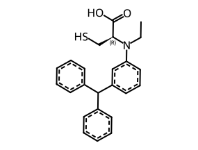 CCN(c1cccc(C(c2ccccc2)c2ccccc2)c1)[C@@H](CS)C(=O)O